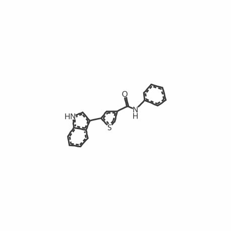 O=C(Nc1ccccc1)c1csc(-c2c[nH]c3ccccc23)c1